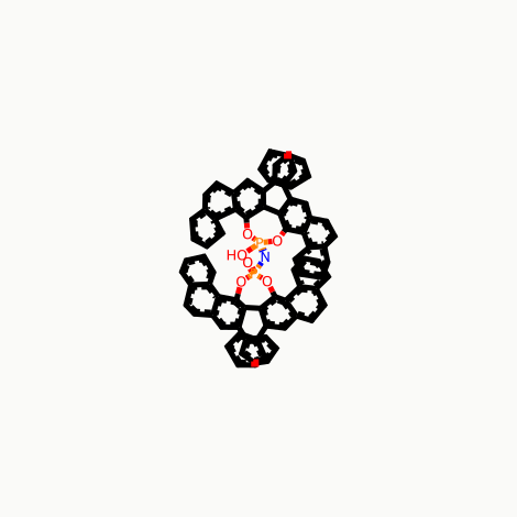 O=P1(N=P2(O)Oc3c(c(-c4ccccc4)cc4ccc5ccccc5c34)-c3c(-c4ccccc4)cc4ccc5ccccc5c4c3O2)Oc2c(c(-c3ccccc3)cc3ccc4ccccc4c23)-c2c(-c3ccccc3)cc3ccc4ccccc4c3c2O1